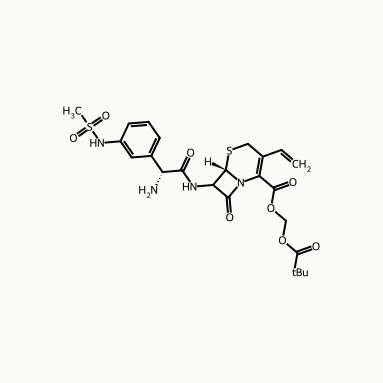 C=CC1=C(C(=O)OCOC(=O)C(C)(C)C)N2C(=O)C(NC(=O)[C@H](N)c3cccc(NS(C)(=O)=O)c3)[C@@H]2SC1